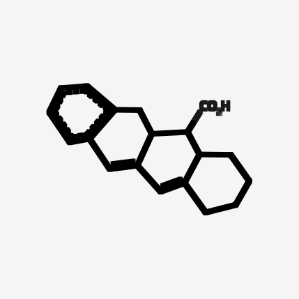 O=C(O)C1C2Cc3ccccc3C=C2C=C2CCCCC21